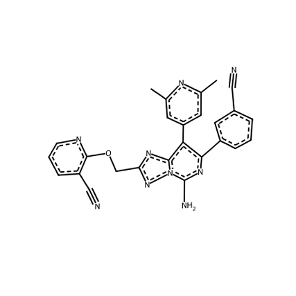 Cc1cc(-c2c(-c3cccc(C#N)c3)nc(N)n3nc(COc4ncccc4C#N)nc23)cc(C)n1